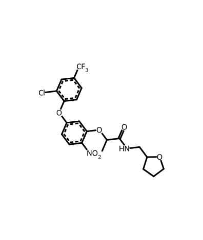 CC(Oc1cc(Oc2ccc(C(F)(F)F)cc2Cl)ccc1[N+](=O)[O-])C(=O)NCC1CCCO1